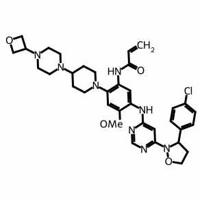 C=CC(=O)Nc1cc(Nc2cc(N3OCCC3c3ccc(Cl)cc3)ncn2)c(OC)cc1N1CCC(N2CCN(C3COC3)CC2)CC1